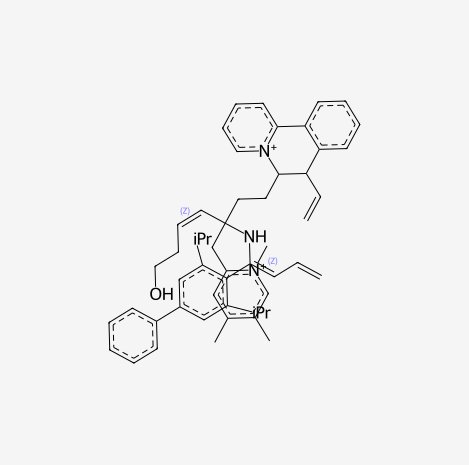 C=C/C=C(\NC(/C=C\CCO)(CCC1C(C=C)c2ccccc2-c2cccc[n+]21)Cc1cc(C)c(C)c[n+]1C)c1c(C(C)C)cc(-c2ccccc2)cc1C(C)C